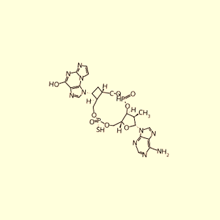 C[C@@H]1[C@@H]2O[PH](=O)OC[C@H]3C[C@@H](n4cnc5c(O)nc6nccn6c54)[C@@H]3CO[P@@](=O)(S)OC[C@H]2O[C@H]1n1cnc2c(N)ncnc21